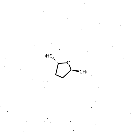 [CH][C@H]1CC[C@H]([CH])O1